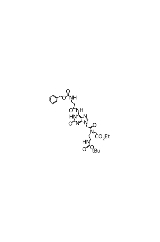 CCOC(=O)CN(CCNC(=O)OC(C)(C)C)C(=O)Cn1cnc2c(NC(=O)CCNC(=O)OCc3ccccc3)[nH]c(=O)nc21